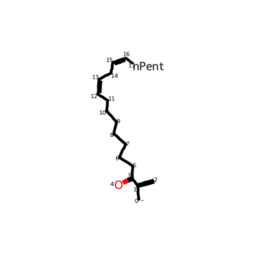 [CH2]C(=C)C(=O)CCCCCCC/C=C\C/C=C\CCCCC